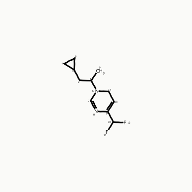 CC(CC1CC1)N1C=NC(C(F)F)=CC1